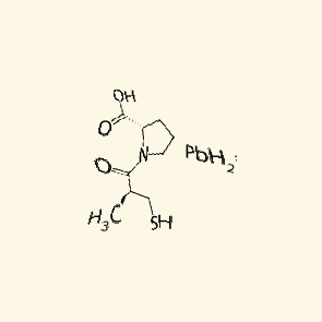 C[C@H](CS)C(=O)N1CCC[C@H]1C(=O)O.[PbH2]